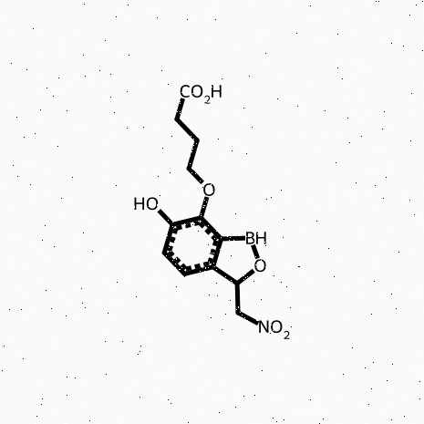 O=C(O)CCCOc1c(O)ccc2c1BOC2C[N+](=O)[O-]